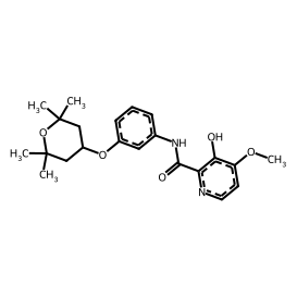 COc1ccnc(C(=O)Nc2cccc(OC3CC(C)(C)OC(C)(C)C3)c2)c1O